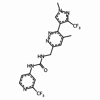 Cc1cc(CNC(=O)Nc2ccnc(C(F)(F)F)c2)nnc1-c1cn(C)nc1C(F)(F)F